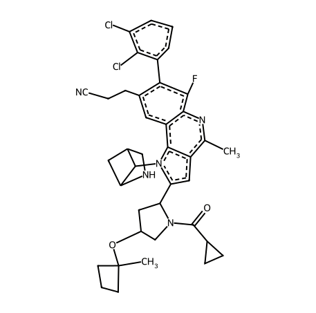 Cc1nc2c(F)c(-c3cccc(Cl)c3Cl)c(CCC#N)cc2c2c1cc(C1CC(OC3(C)CCC3)CN1C(=O)C1CC1)n2C1C2CNC1C2